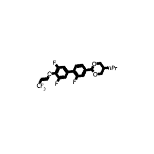 CCCC1COC(c2ccc(-c3cc(F)c(O/C=C/C(F)(F)F)c(F)c3)c(F)c2)OC1